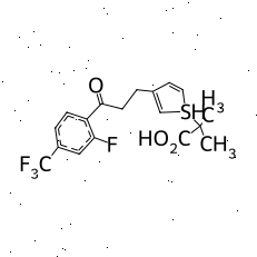 CC(C)(C(=O)O)[SH]1C=CC(CCC(=O)c2ccc(C(F)(F)F)cc2F)=C1